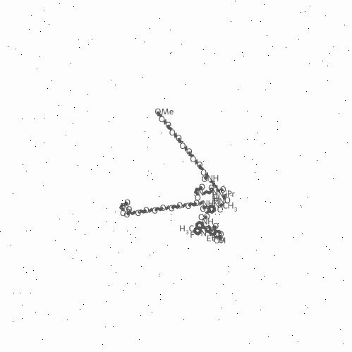 CC[C@@]1(O)C(=O)OCc2c1cc1n(c2=O)Cc2c-1nc1cc(F)c(C)c3c1c2[C@@H](NC(=O)OCc1ccc(NC(=O)[C@H](C)NC(=O)[C@@H](NC(=O)[C@H](CCCCNC(=O)COCCOCCOCCOCCOCCOCCOCCOCCOCCOC)NC(=O)CCCN2C(=O)C=CC2=O)C(C)C)cc1C(=O)NCCOCCOCCOCCOCCOCCOCCOCCOCCC(=O)ON1C(=O)CCC1=O)CC3